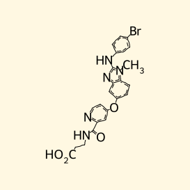 Cn1c(Nc2ccc(Br)cc2)nc2cc(Oc3ccnc(C(=O)NCCC(=O)O)c3)ccc21